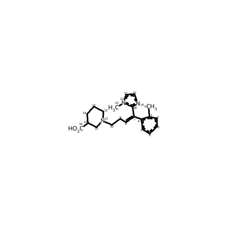 Cc1ccccc1C(=CCCN1CCCC(C(=O)O)C1)c1nccn1C